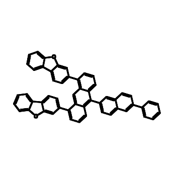 c1ccc(-c2ccc3cc(-c4c5cccc(-c6ccc7c(c6)oc6ccccc67)c5cc5c(-c6ccc7c(c6)oc6ccccc67)cccc45)ccc3c2)cc1